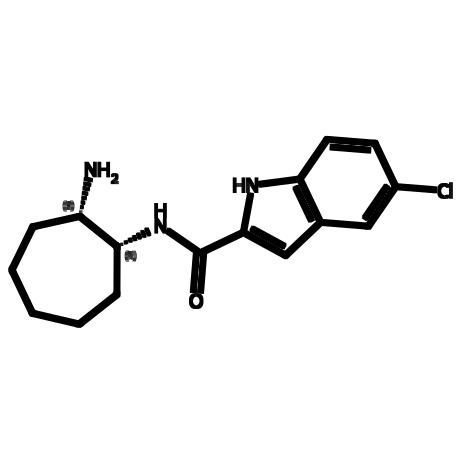 N[C@H]1CCCCC[C@H]1NC(=O)c1cc2cc(Cl)ccc2[nH]1